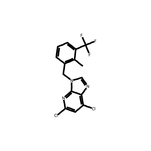 Cc1c(Cn2cnc3c(Cl)cc(Cl)nc32)cccc1C(F)(F)F